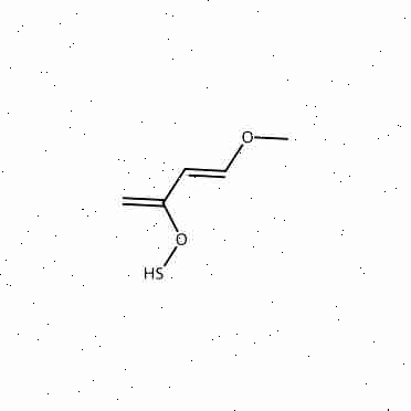 C=C(/C=C/OC)OS